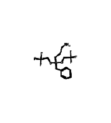 NCCC[Si](Cc1ccccc1)(OCC(F)(F)F)OCC(F)(F)F